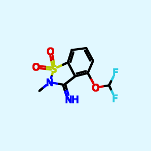 CN1C(=N)c2c(OC(F)F)cccc2S1(=O)=O